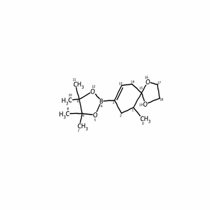 CC1CC(B2OC(C)(C)C(C)(C)O2)=CCC12OCCO2